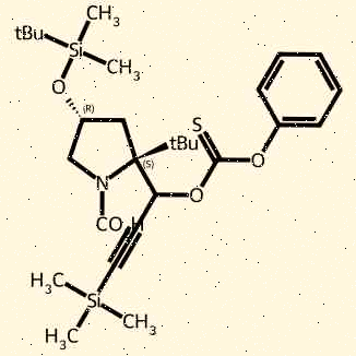 CC(C)(C)[C@]1(C(C#C[Si](C)(C)C)OC(=S)Oc2ccccc2)C[C@@H](O[Si](C)(C)C(C)(C)C)CN1C(=O)O